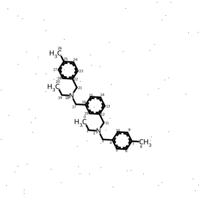 CCN(Cc1ccc(C)cc1)Cc1cccc(CN(CC)Cc2ccc(C)cc2)c1